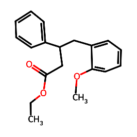 CCOC(=O)CC(Cc1ccccc1OC)c1ccccc1